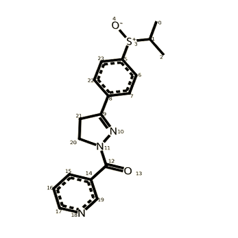 CC(C)[S+]([O-])c1ccc(C2=NN(C(=O)c3cccnc3)CC2)cc1